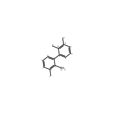 Bc1c(C)cccc1-c1cccc(C)c1C